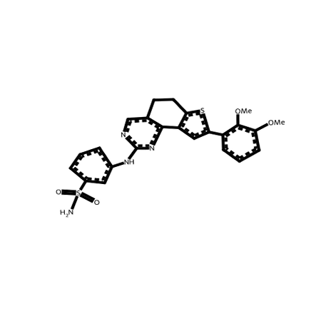 COc1cccc(-c2cc3c(s2)CCc2cnc(Nc4cccc(S(N)(=O)=O)c4)nc2-3)c1OC